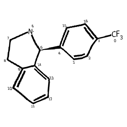 FC(F)(F)c1ccc([C@@H]2[N]CCc3ccccc32)cc1